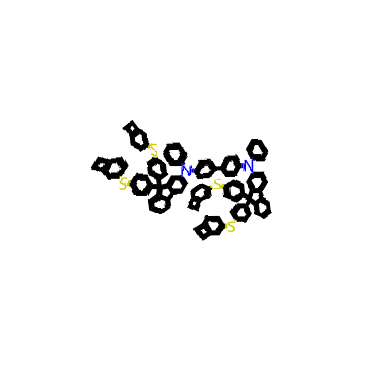 c1ccc(N(c2ccc(-c3ccc(N(c4ccccc4)c4ccc5c(c4)C(c4ccc(Sc6ccc7c(c6)CC7)cc4)(c4ccc(Sc6ccc7c(c6)CC7)cc4)c4ccccc4-5)cc3)cc2)c2ccc3c(c2)C(c2ccc(Sc4ccc5c(c4)CC5)cc2)(c2ccc(Sc4ccc5c(c4)CC5)cc2)c2ccccc2-3)cc1